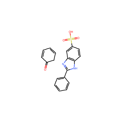 O=C1C=CC=CC1.O=S(=O)(O)c1ccc2[nH]c(-c3ccccc3)nc2c1